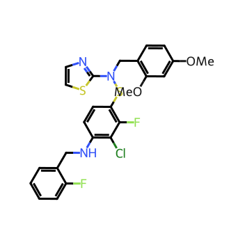 COc1ccc(CN(Sc2ccc(NCc3ccccc3F)c(Cl)c2F)c2nccs2)c(OC)c1